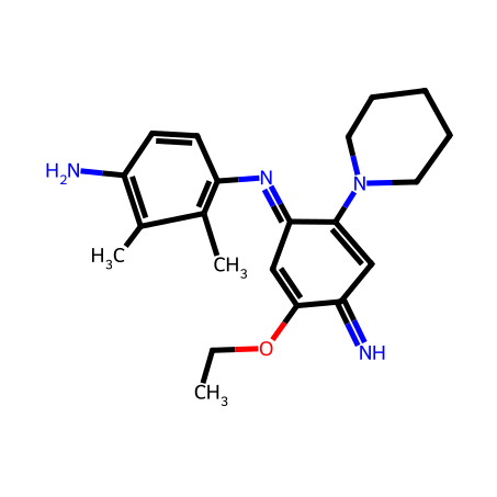 CCOC1=CC(=Nc2ccc(N)c(C)c2C)C(N2CCCCC2)=CC1=N